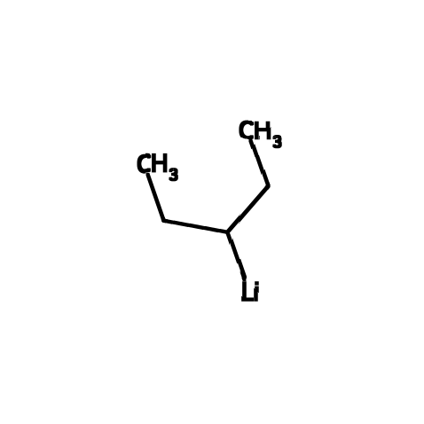 [Li][CH](CC)CC